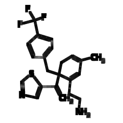 C=C(c1cncs1)C1(Cc2ccc(C(F)(F)F)cc2)CC=C(C)C=C1CCN